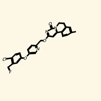 Cc1ccc2c(c1)CCn1c-2cc(OCc2ccc(Oc3ccc(Cl)c(CF)c3)cn2)nc1=O